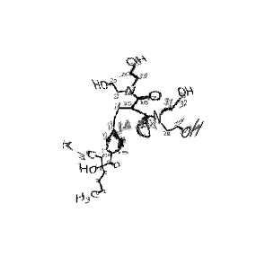 CCCCC(O)(CC)C(=O)c1ccc(CC(C(=O)N(CCO)CCO)C(=O)N(CCO)CCO)cc1